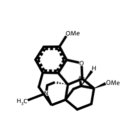 COc1ccc2c3c1OC1[C@]34CCN(C)C(C2)C42CC[C@]1(OC)[C@@H](C(C)=O)C2